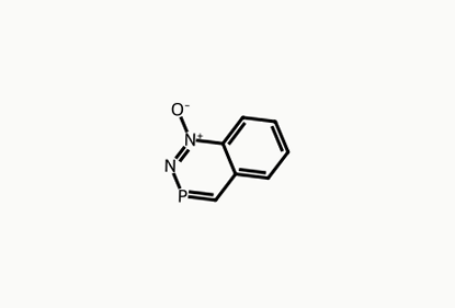 [O-][n+]1npcc2ccccc21